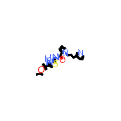 CC(C)OC(C)(C)c1csc(NC(=O)c2cccn2CCCc2cccnc2)n1